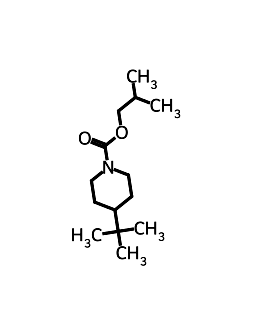 CC(C)COC(=O)N1CCC(C(C)(C)C)CC1